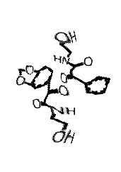 O=C(NCCO)C(=O)c1ccc2c(c1)OCO2.O=C(NCCO)C(=O)c1ccccc1